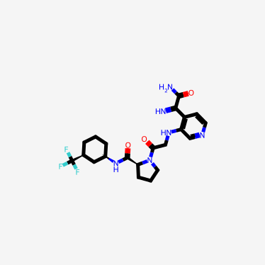 N=C(C(N)=O)c1ccncc1NCC(=O)N1CCC[C@H]1C(=O)N[C@@H]1CCC[C@H](C(F)(F)F)C1